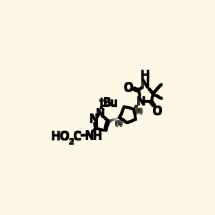 CC1(C)NC(=O)N([C@@H]2CC[C@H](c3cc(NC(=O)O)nn3C(C)(C)C)C2)C1=O